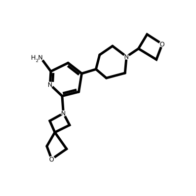 Nc1cc(C2CCN(C3COC3)CC2)cc(N2CC3(COC3)C2)n1